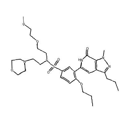 CCCOc1ccc(S(=O)(=O)N(CCOCCOC)CCN2CCOCC2)cc1-c1cc2c(CCC)nn(C)c2c(=O)[nH]1